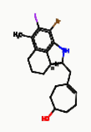 Cc1c(I)c(Br)c2c3c1CCC[C@@H]3C(CC1=CCCC(O)CC1)N2